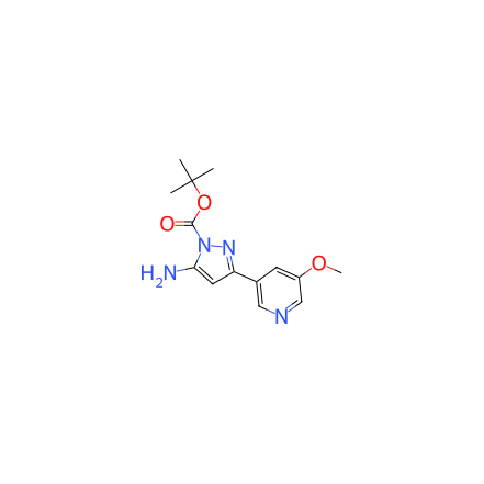 COc1cncc(-c2cc(N)n(C(=O)OC(C)(C)C)n2)c1